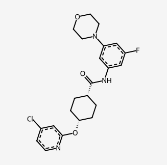 O=C(Nc1cc(F)cc(N2CCOCC2)c1)[C@H]1CC[C@@H](Oc2cc(Cl)ccn2)CC1